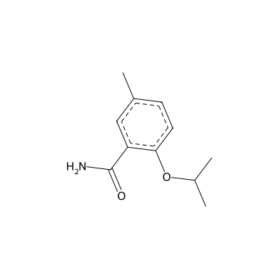 Cc1ccc(OC(C)C)c(C(N)=O)c1